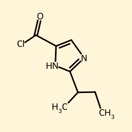 CCC(C)c1ncc(C(=O)Cl)[nH]1